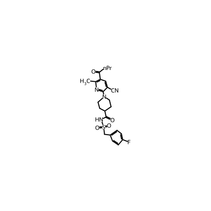 CCCC(=O)c1cc(C#N)c(N2CCC(C(=O)NS(=O)(=O)Cc3ccc(F)cc3)CC2)nc1C